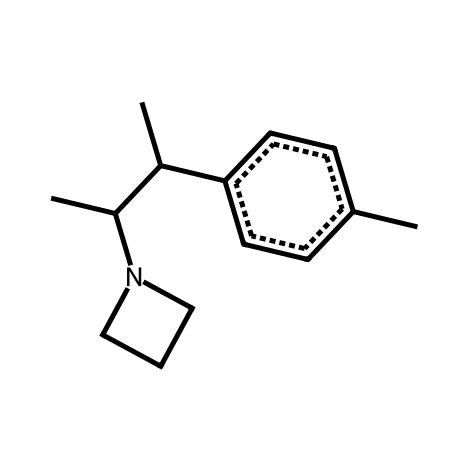 Cc1ccc(C(C)C(C)N2CCC2)cc1